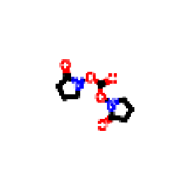 O=C(ON1CCCC1=O)ON1CCCC1=O